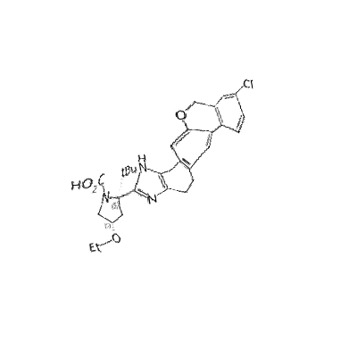 CCO[C@@H]1CN(C(=O)O)[C@](c2nc3c([nH]2)-c2cc4c(cc2CC3)-c2ccc(Cl)cc2CO4)(C(C)(C)C)C1